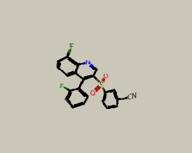 N#Cc1cccc(S(=O)(=O)c2cnc3c(F)cccc3c2-c2ccccc2F)c1